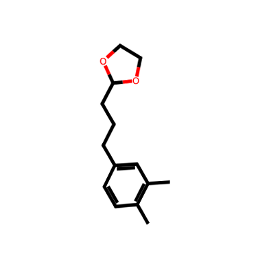 Cc1ccc(CCCC2OCCO2)cc1C